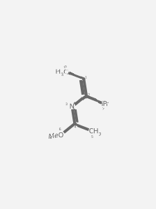 C/C=C(\N=C(/C)OC)C(C)C